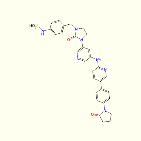 O=C(O)Nc1ccc(CN2CCN(c3cncc(Nc4ccc(-c5ccc(N6CCCC6=O)cc5)cn4)c3)C2=O)cc1